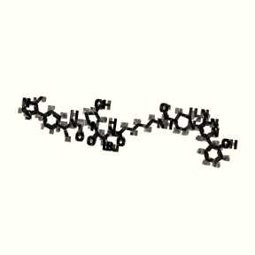 Cc1ncsc1-c1ccc([C@H](C)NC(=O)[C@@H]2C[C@@H](O)CN2C(=O)[C@@H](NC(=O)CCCCCNC(=O)C2CCN(c3cc(-c4ccccc4O)nnc3N)CC2)C(C)(C)C)cc1